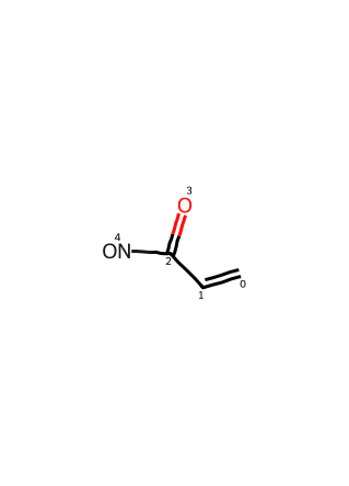 C=CC(=O)N=O